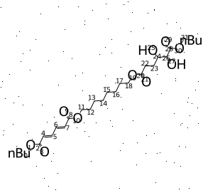 CCCCOC(=O)/C=C/C=C/C(=O)OCCCCCCCCOC(=O)CCC(O)C(O)C(=O)OCCCC